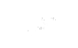 N#CC1CCCN1C(=O)CNC12CC3CC1C[C@@](F)(C3)C2